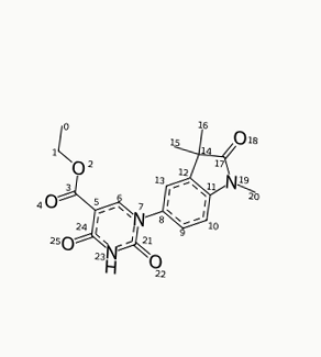 CCOC(=O)c1cn(-c2ccc3c(c2)C(C)(C)C(=O)N3C)c(=O)[nH]c1=O